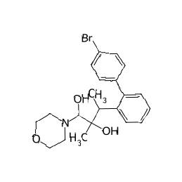 CC(c1ccccc1-c1ccc(Br)cc1)C(C)(O)C(O)N1CCOCC1